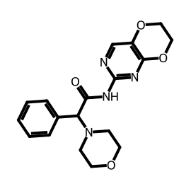 O=C(Nc1ncc2c(n1)OCCO2)C(c1ccccc1)N1CCOCC1